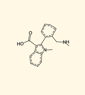 CNCc1ccccc1-c1c(C(=O)O)c2ccccc2n1C